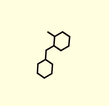 CC1CCCCC1CC1CCCCC1